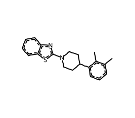 Cc1cccc(C2CCN(c3nc4ccccc4s3)CC2)c1C